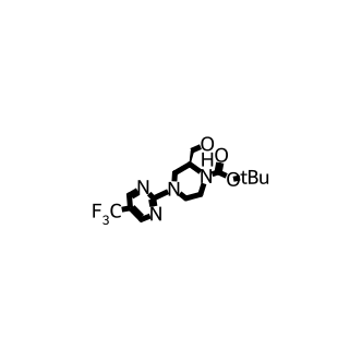 CC(C)(C)OC(=O)N1CCN(c2ncc(C(F)(F)F)cn2)C[C@H]1CO